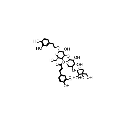 C[C@@H]1O[C@@H](O[C@@H]2[C@@H](O)[C@H](OCCc3ccc(O)c(O)c3)O[C@H](CO)[C@H]2OC(=O)/C=C/c2ccc(O)c(O)c2)[C@H](O)[C@H](O)[C@H]1O[C@@H]1OC[C@](O)(CO)[C@H]1O